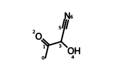 CC(=O)C(O)C#N